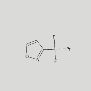 CC(C)C(F)(F)c1ccon1